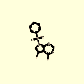 O=S(=O)(c1ccccc1)n1cc(I)c2c(Cl)ncnc21